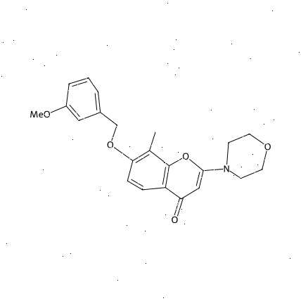 COc1cccc(COc2ccc3c(=O)cc(N4CCOCC4)oc3c2C)c1